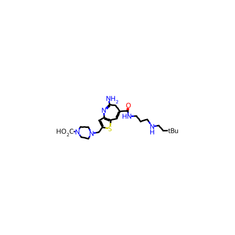 CC(C)(C)CCNCCCNC(=O)C1=Cc2sc(CN3CCN(C(=O)O)CC3)cc2N=C(N)C1